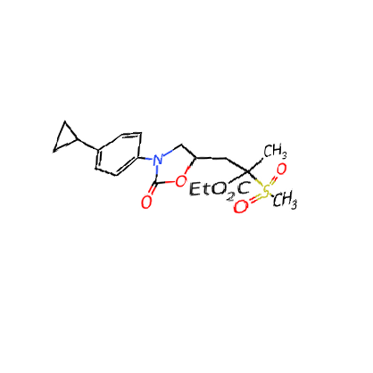 CCOC(=O)C(C)(CC1CN(c2ccc(C3CC3)cc2)C(=O)O1)S(C)(=O)=O